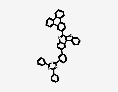 c1ccc(-c2nc(-c3ccccc3)nc(-c3cccc(-c4ccc5nc(-c6ccc7c8ccccc8c8ccccc8c7c6)c6sc7ccccc7c6c5c4)c3)n2)cc1